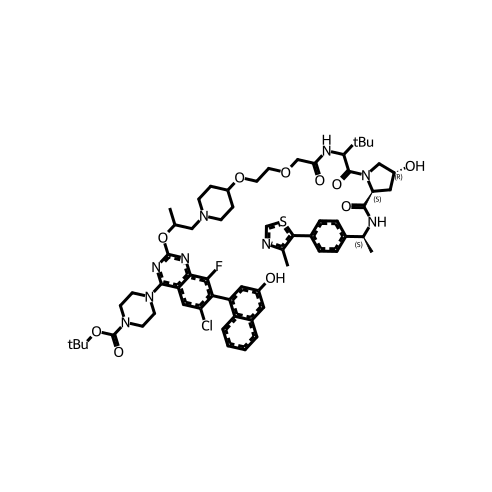 Cc1ncsc1-c1ccc([C@H](C)NC(=O)[C@@H]2C[C@@H](O)CN2C(=O)C(NC(=O)COCCOC2CCN(CC(C)Oc3nc(N4CCN(C(=O)OC(C)(C)C)CC4)c4cc(Cl)c(-c5cc(O)cc6ccccc56)c(F)c4n3)CC2)C(C)(C)C)cc1